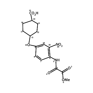 COC(=O)C(=O)Nc1ccc(OC2CCC(C(=O)O)CC2)cc1[N+](=O)[O-]